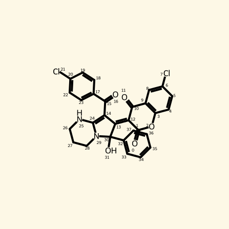 O=C1Oc2ccc(Cl)cc2C(=O)C1=C1C(C(=O)c2ccc(Cl)cc2)=C2NCCCN2C1(O)c1ccccc1